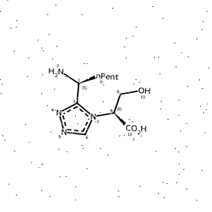 CCCCC[C@H](N)c1nncn1[C@@H](CO)C(=O)O